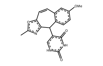 COc1ccc2c(c1)C=Cc1oc(C)nc1C2c1c[nH]c(=O)[nH]c1=O